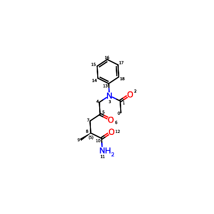 CC(=O)N(CC(=O)C[C@H](C)C(N)=O)c1ccccc1